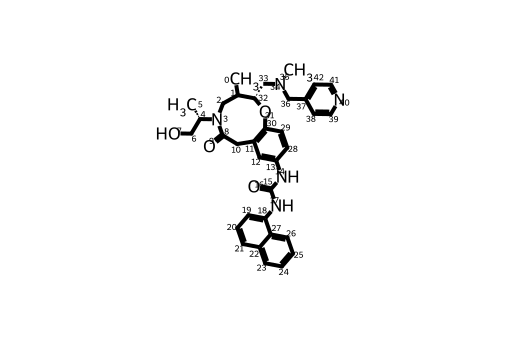 CC1CN([C@@H](C)CO)C(=O)Cc2cc(NC(=O)Nc3cccc4ccccc34)ccc2O[C@H]1CN(C)Cc1ccncc1